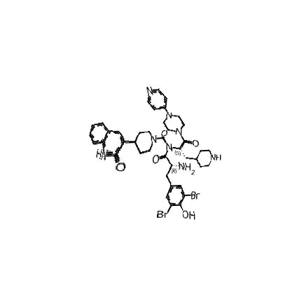 N[C@H](Cc1cc(Br)c(O)c(Br)c1)C(=O)N(C(=O)N1CCC(c2cc3ccccc3[nH]c2=O)CC1)[C@@H](CC1CCNCC1)C(=O)N1CCN(c2ccncc2)CC1